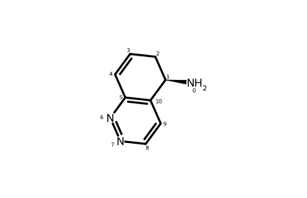 N[C@@H]1CC=Cc2nnccc21